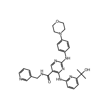 CC(C)(O)c1cccc(Nc2nc(Nc3ccc(N4CCOCC4)cc3)ncc2C(=O)NCc2cccnc2)n1